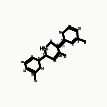 CC1=C/C(=C2/CNC(C3C=CC=C(C)C3)C=C2C)CC=C1